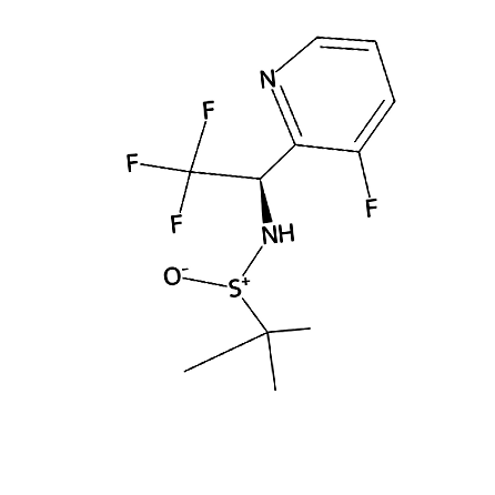 CC(C)(C)[S+]([O-])N[C@H](c1ncccc1F)C(F)(F)F